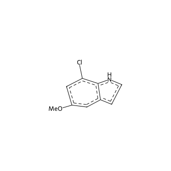 COc1cc(Cl)c2[nH]ccc2c1